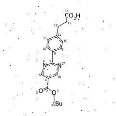 CC(C)(C)OC(=O)c1cnc(-c2ccc(CCC(=O)O)cc2)nc1